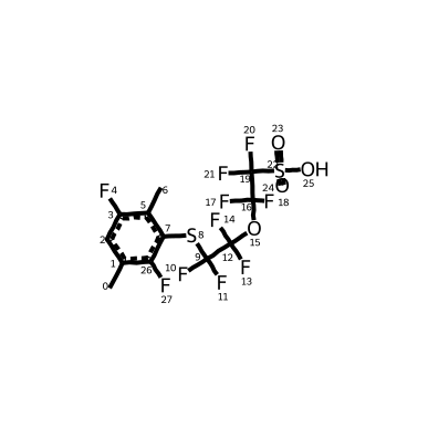 Cc1cc(F)c(C)c(SC(F)(F)C(F)(F)OC(F)(F)C(F)(F)S(=O)(=O)O)c1F